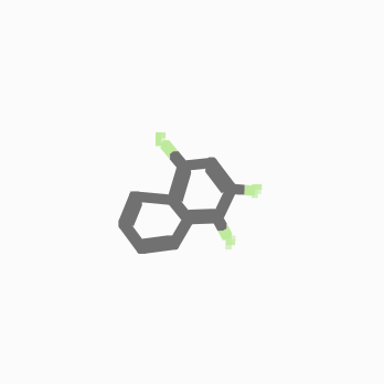 Fc1[c]c(F)c2ccccc2c1F